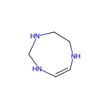 C1=C\NCNCCN/1